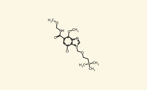 COCNC(=O)c1cc(Cl)c2c(ncn2COCC[Si](C)(C)C)c1OC